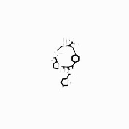 COC(=O)[C@@H]1Cc2ccc(cc2)[C@H](C)[C@H](NC(=O)c2ccc(O)cn2)C(=O)N2CCC[C@H]2C(=O)NCC(=O)N1